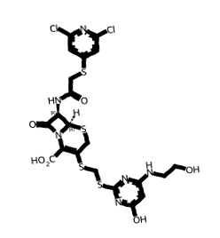 O=C(CSc1cc(Cl)nc(Cl)c1)N[C@@H]1C(=O)N2C(C(=O)O)=C(SCSc3nc(O)cc(NCCO)n3)CS[C@H]12